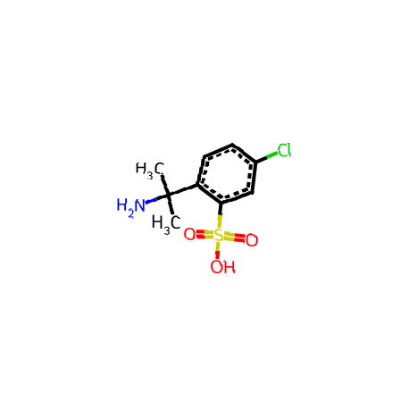 CC(C)(N)c1ccc(Cl)cc1S(=O)(=O)O